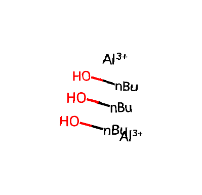 CCCCO.CCCCO.CCCCO.[Al+3].[Al+3]